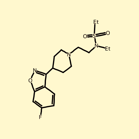 CCN(CCN1CCC(c2noc3cc(F)ccc23)CC1)S(=O)(=O)CC